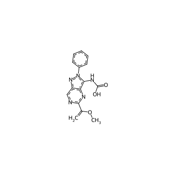 C=C(OC)c1ncc2nn(-c3ccccc3)c(NC(=O)O)c2n1